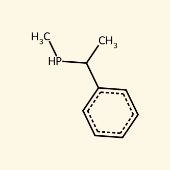 CPC(C)c1ccccc1